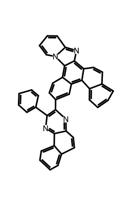 c1ccc(-c2nc3c(ccc4ccccc43)nc2-c2ccc3c(c2)c2c4ccccc4ccc2c2nc4ccccn4c32)cc1